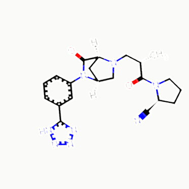 C[C@@H](CN1C[C@@H]2C[C@H]1C(=O)N2c1cccc(-c2nnn[nH]2)c1)C(=O)N1CCC[C@H]1C#N